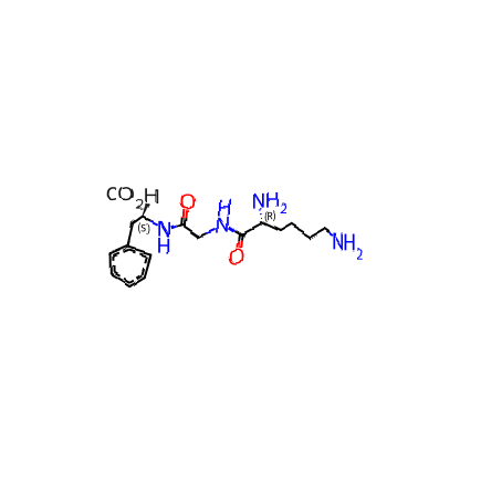 NCCCC[C@@H](N)C(=O)NCC(=O)N[C@@H](Cc1ccccc1)C(=O)O